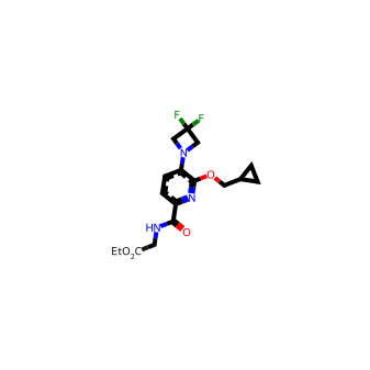 CCOC(=O)CNC(=O)c1ccc(N2CC(F)(F)C2)c(OCC2CC2)n1